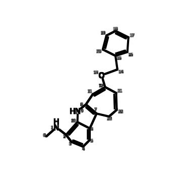 CNc1cccc2c3c([nH]c12)C=C(OCc1ccccc1)C=CC3